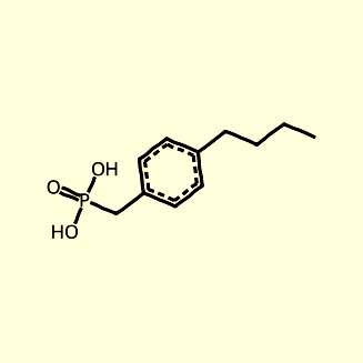 CCCCc1ccc(CP(=O)(O)O)cc1